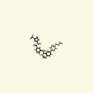 C=C(C)c1cc(NC(=O)c2ccc(C)c(Nc3ncnc4ccc(N5CCN(CCOC)CC5)nc34)c2)no1